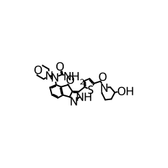 NC(=O)N(c1cccc2c1C(=O)c1c-2n[nH]c1-c1ccc(C(=O)N2CCCC(O)C2)s1)N1CCOCC1